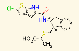 CC(SC[C@@H]1c2ccccc2C[C@H]1NC(=O)c1cc2cc(Cl)sc2[nH]1)C(=O)O